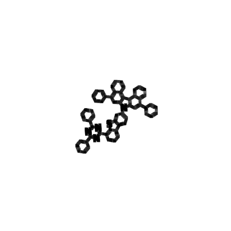 c1ccc(-c2nc(-c3ccccc3)nc(-c3cccc4c3sc3cc(-n5c6cc(-c7ccccc7)c7ccccc7c6c6c7ccccc7c(-c7ccccc7)cc65)ccc34)n2)cc1